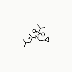 CC(C)C[C@@H](C)N(CC1CC1)S(=O)(=O)C(C)C